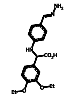 CCOc1ccc(C(Nc2ccc(C=NN)cc2)C(=O)O)cc1OCC